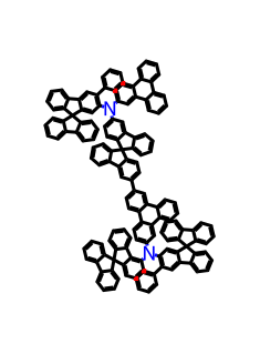 c1ccc(-c2cc3c(cc2N(c2ccc4c(c2)-c2ccccc2C42c4ccccc4-c4cc(-c5ccc6c7ccc(N(c8cc9c(cc8-c8ccccc8)-c8ccccc8C98c9ccccc9-c9ccccc98)c8cccc9c8-c8ccccc8C98c9ccccc9-c9ccccc98)cc7c7ccccc7c6c5)ccc42)c2ccc4c5ccccc5c5ccccc5c4c2)C2(c4ccccc4-c4ccccc42)c2ccccc2-3)cc1